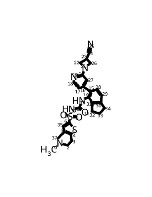 CN1CCc2sc(S(=O)(=O)NC(=O)Nc3c(-c4ccnc(N5CC(C#N)C5)c4)ccc4c3CCC4)cc2C1